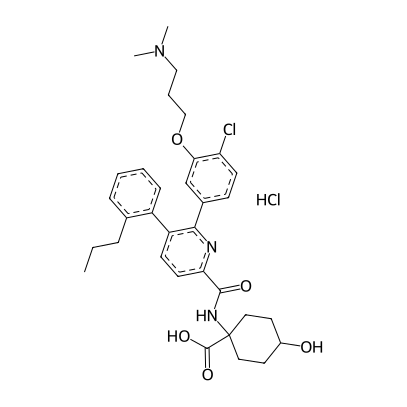 CCCc1ccccc1-c1ccc(C(=O)NC2(C(=O)O)CCC(O)CC2)nc1-c1ccc(Cl)c(OCCCN(C)C)c1.Cl